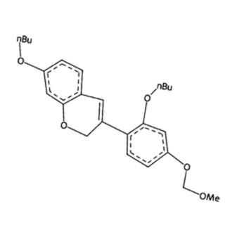 CCCCOc1ccc2c(c1)OCC(c1ccc(OCOC)cc1OCCCC)=C2